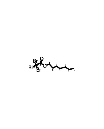 CCCCCCCOC(=O)C(Br)(Br)Br